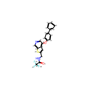 O=C(NCc1cc2c(Oc3ccc(-c4ccccc4)cc3)cncc2s1)C(F)(F)F